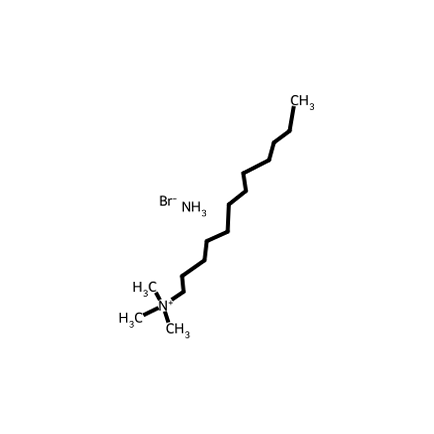 CCCCCCCCCCCC[N+](C)(C)C.N.[Br-]